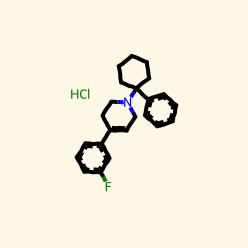 Cl.Fc1cccc(C2=CCN(C3(c4ccccc4)CCCCC3)CC2)c1